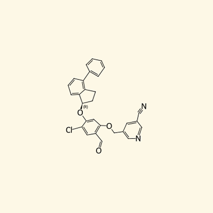 N#Cc1cncc(COc2cc(O[C@@H]3CCc4c(-c5ccccc5)cccc43)c(Cl)cc2C=O)c1